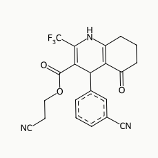 N#CCCOC(=O)C1=C(C(F)(F)F)NC2=C(C(=O)CCC2)C1c1cccc(C#N)c1